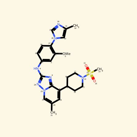 COc1cc(Nc2nc3c(C4CCN(S(C)(=O)=O)CC4)cc(C)cn3n2)ccc1-n1cnc(C)c1